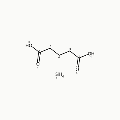 O=C(O)CCCC(=O)O.[SiH4]